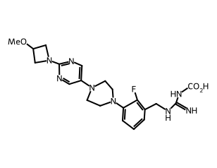 COC1CN(c2ncc(N3CCN(c4cccc(CNC(=N)NC(=O)O)c4F)CC3)cn2)C1